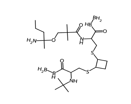 BBC(=O)C(CSC1CCC1SCC(NC(C)(C)C)C(=O)BB)NC(=O)C(C)(C)COC(C)(N)CCC